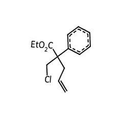 C=CCC(CCl)(C(=O)OCC)c1ccccc1